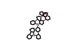 c1ccc(-c2ccc(-c3ccccc3N(c3ccc(-c4ccccc4-n4c5ccccc5c5ccccc54)cc3)c3ccc(-c4cccc5oc6ccccc6c45)cc3)cc2)cc1